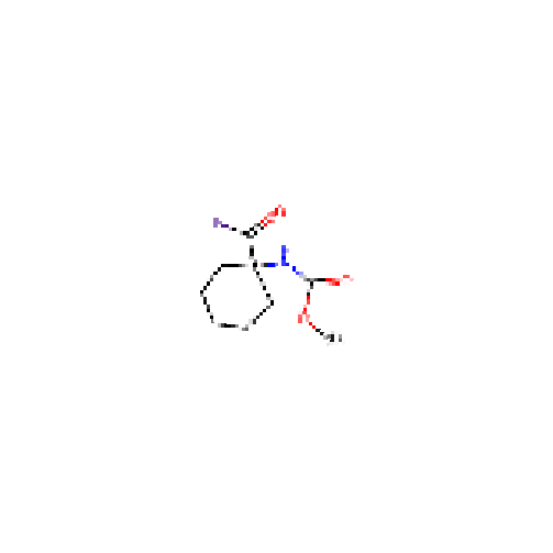 CC(C)(C)OC(=O)NC1(C(=O)I)CCCCC1